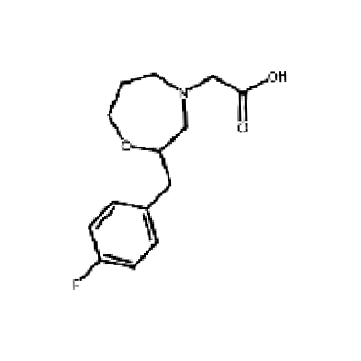 O=C(O)CN1CCCOC(Cc2ccc(F)cc2)C1